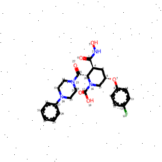 O=C(NO)[C@H]1C[C@H](Oc2ccc(F)cc2)CN(C(=O)O)[C@@H]1C(=O)N1CCN(c2ccccc2)CC1